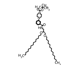 CCCCCCCCCCCCCCOC[C@H](CNC(=O)c1cccc(N2CCN(C(=O)OC(C)(C)C)CC2)c1)OCCCCCCCCCCCCCC